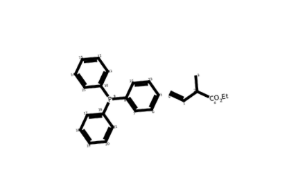 C=CC(C)C(=O)OCC.c1ccc(P(c2ccccc2)c2ccccc2)cc1